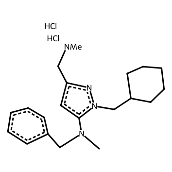 CNCc1cc(N(C)Cc2ccccc2)n(CC2CCCCC2)n1.Cl.Cl